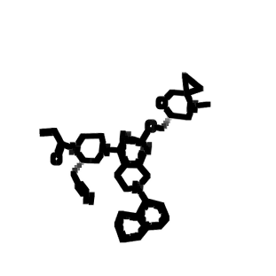 C=CC(=O)N1CCN(c2nc(OC[C@H]3CN(C)C4(CC4)CO3)nc3c2CCN(c2cccc4ccccc24)C3)C[C@@H]1CC#N